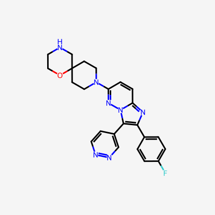 Fc1ccc(-c2nc3ccc(N4CCC5(CC4)CNCCO5)nn3c2-c2ccnnc2)cc1